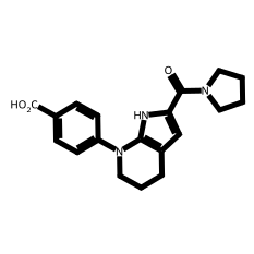 O=C(O)c1ccc(N2CCCc3cc(C(=O)N4CCCC4)[nH]c32)cc1